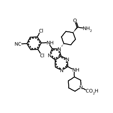 N#Cc1cc(Cl)c(Nc2nc3cnc(NC4CCCN(C(=O)O)C4)nc3n2[C@H]2CC[C@H](C(N)=O)CC2)c(Cl)c1